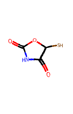 O=C1NC(=O)C(S)O1